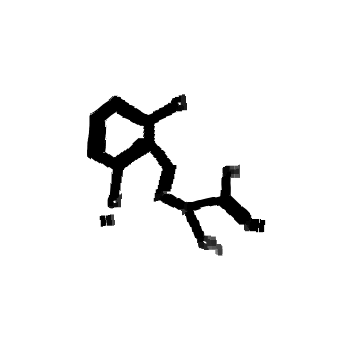 CN(N=Cc1c(Cl)cccc1Cl)C(=N)S.I